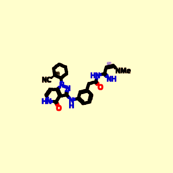 CN/C=C\C(=N)NC(=O)Cc1cccc(Nc2nn(C3CCCC[C@H]3C#N)c3cc[nH]c(=O)c23)c1